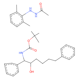 CC(=O)NNc1c(C)cccc1C.CC(C)(C)OC(=O)NC(c1ccccc1)C(O)CCCCc1ccccc1